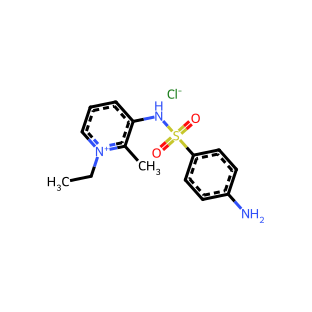 CC[n+]1cccc(NS(=O)(=O)c2ccc(N)cc2)c1C.[Cl-]